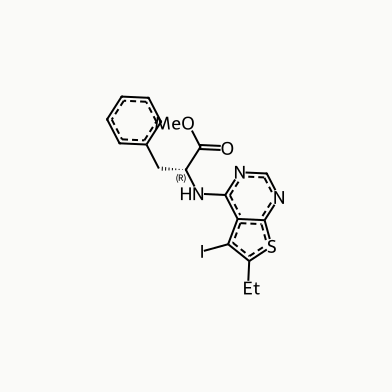 CCc1sc2ncnc(N[C@H](Cc3ccccc3)C(=O)OC)c2c1I